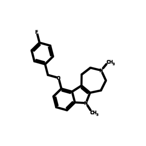 CN1CCc2c(n(C)c3cccc(OCc4ccc(F)cc4)c23)CC1